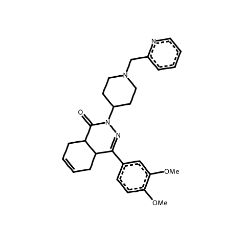 COc1ccc(C2=NN(C3CCN(Cc4ccccn4)CC3)C(=O)C3CC=CCC23)cc1OC